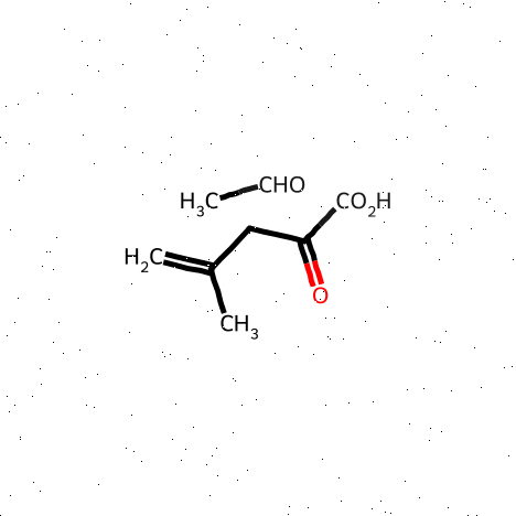 C=C(C)CC(=O)C(=O)O.CC=O